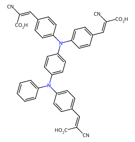 [C-]#[N+]/C(=C\c1ccc(N(c2ccc(/C=C(/[N+]#[C-])C(=O)O)cc2)c2ccc(N(c3ccccc3)c3ccc(/C=C(/C#N)C(=O)O)cc3)cc2)cc1)C(=O)O